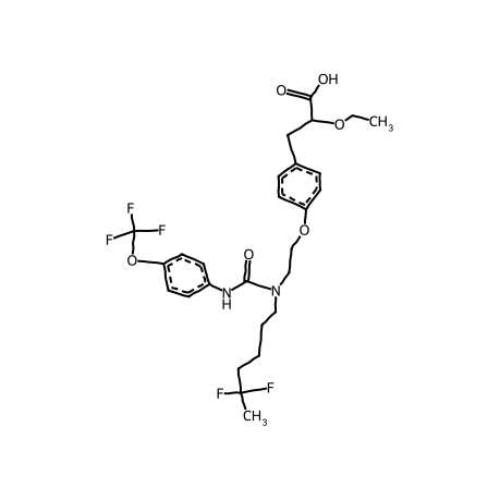 CCOC(Cc1ccc(OCCN(CCCCC(C)(F)F)C(=O)Nc2ccc(OC(F)(F)F)cc2)cc1)C(=O)O